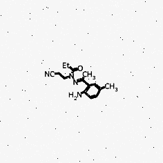 CCC(=O)N(CCC#N)/N=C(\C)c1cc(C)ccc1N